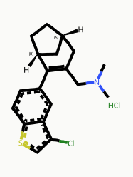 CN(C)CC1=C(c2ccc3scc(Cl)c3c2)[C@@H]2CC[C@H](C1)C2.Cl